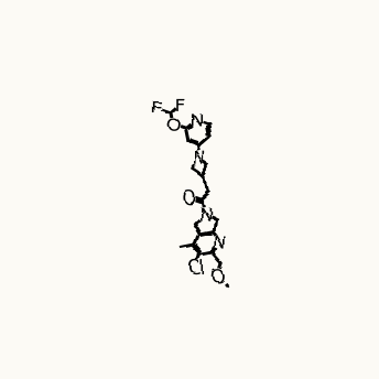 COCc1nc2c(c(C)c1Cl)CN(C(=O)CC1CN(c3ccnc(OC(F)F)c3)C1)C2